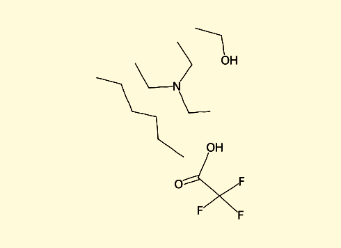 CCCCCC.CCN(CC)CC.CCO.O=C(O)C(F)(F)F